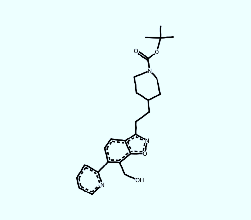 CC(C)(C)OC(=O)N1CCC(CCc2noc3c(CO)c(-c4ccccn4)ccc23)CC1